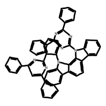 c1ccc(-c2cc(-c3ccccc3)nc(-c3ccccc3-n3c4ccccc4c4ccc5c6ccccc6n(-c6nc(-c7ccccc7)nc(-c7ccccc7)n6)c5c43)n2)cc1